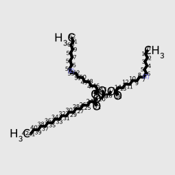 CCCCCC/C=C\CCCCCCCC(=O)OC[C@@H](COC(=O)CCCCCCCCCCCCCCCCCCC)OC(=O)CCCCCCC/C=C\CCCCCCCC